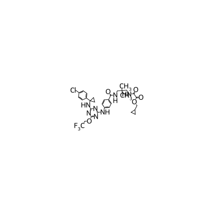 CC(C)(CNC(=O)C(=O)OCC1CC1)CNC(=O)c1ccc(Nc2nc(NC3(c4ccc(Cl)cc4)CC3)nc(OCC(F)(F)F)n2)cc1